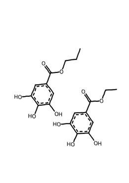 CCCOC(=O)c1cc(O)c(O)c(O)c1.CCOC(=O)c1cc(O)c(O)c(O)c1